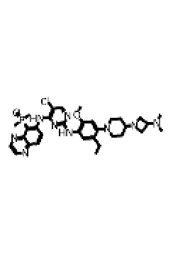 CCc1cc(Nc2ncc(Cl)c(Nc3ccc4nccnc4c3P(C)(C)=O)n2)c(OC)cc1N1CCC(N2CC(N(C)C)C2)CC1